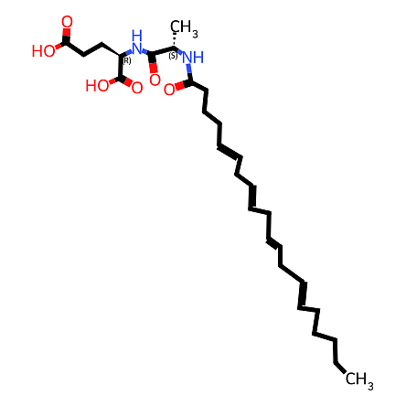 CCCCCC=CCC=CCC=CCC=CCCCC(=O)N[C@@H](C)C(=O)N[C@H](CCC(=O)O)C(=O)O